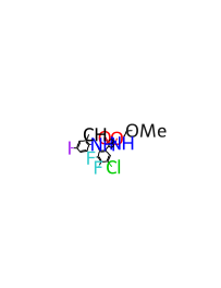 COCCONC(=O)c1cc(Cl)c(F)c(F)c1Nc1ccc(I)cc1C